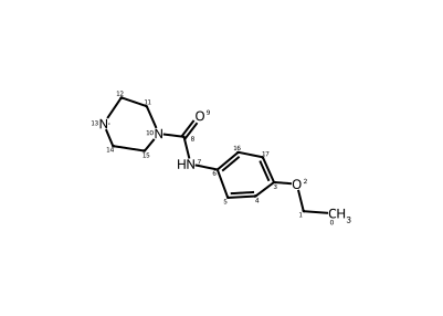 CCOc1ccc(NC(=O)N2CC[N]CC2)cc1